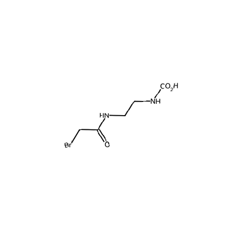 O=C(O)NCCNC(=O)CBr